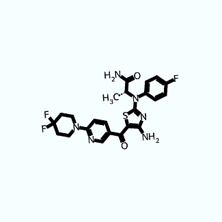 C[C@H](C(N)=O)N(c1ccc(F)cc1)c1nc(N)c(C(=O)c2ccc(N3CCC(F)(F)CC3)nc2)s1